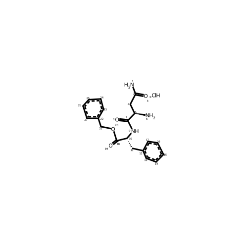 Cl.NC(=O)C[C@@H](N)C(=O)N[C@H](Cc1ccccc1)C(=O)OCc1ccccc1